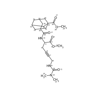 COC(=O)C(CC#CCNC(=O)N(C)C)NC(=O)C12CC3CC(C1)CC(C(=O)OC)(C3)C2